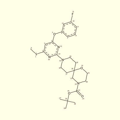 CSc1cc(Oc2cccc(F)c2)nc(N2CCC3(CC2)CN(C(=O)OC(C)(C)C)CCO3)n1